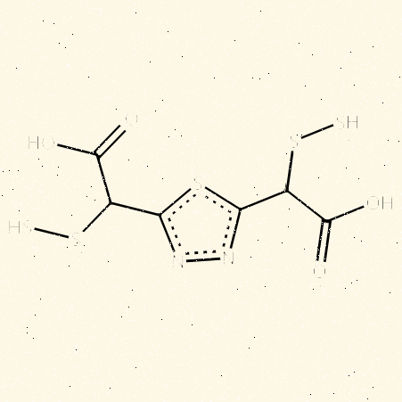 O=C(O)C(SS)c1nnc(C(SS)C(=O)O)s1